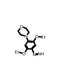 CCOc1cc(N2CCOCC2)c(OCC)cc1N=N